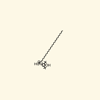 CCCCCCCCCCCCCCCCCCCCCCCCCCCCOP(=O)(O)Cc1cc(C(C)(C)C)c(O)c(C(C)(C)C)c1